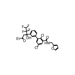 CCC(=O)C[C@@](O)(c1cccc(-c2cc(Cl)cc(C(=O)NCc3ccco3)c2Cl)c1)C(F)(F)C(F)F